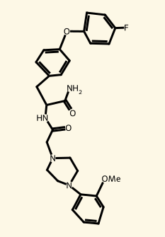 COc1ccccc1N1CCN(CC(=O)NC(Cc2ccc(Oc3ccc(F)cc3)cc2)C(N)=O)CC1